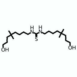 CC(C)(CCCO)CCCCNC(=S)NCCCCC(C)(C)CCCO